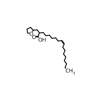 CCCCCCCC/C=C\CCCCCCC(CC1CCCO1)C(=O)O